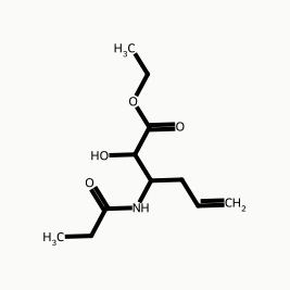 C=CCC(NC(=O)CC)C(O)C(=O)OCC